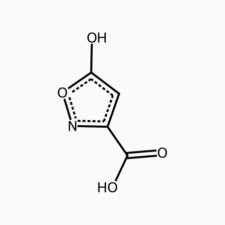 O=C(O)c1cc(O)on1